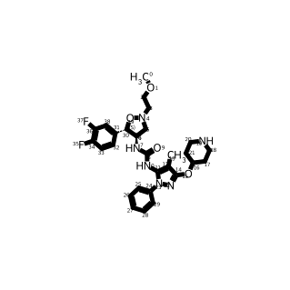 COCCN1C[C@@H](NC(=O)Nc2c(C)c(OC3CCNCC3)nn2-c2ccccc2)[C@H](c2ccc(F)c(F)c2)O1